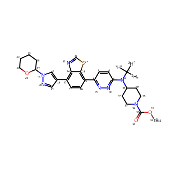 [2H]C([2H])([2H])N(c1ccc(-c2ccc(-c3cnn(C4CCCCO4)c3)c3ncsc23)nn1)C1CCN(C(=O)OC(C)(C)C)CC1